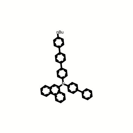 CCCCc1ccc(-c2ccc(-c3ccc(N(c4ccc(-c5ccccc5)cc4)c4cc5ccccc5c5ccccc45)cc3)cc2)cc1